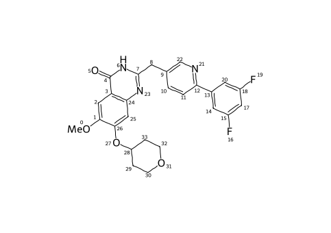 COc1cc2c(=O)[nH]c(Cc3ccc(-c4cc(F)cc(F)c4)nc3)nc2cc1OC1CCOCC1